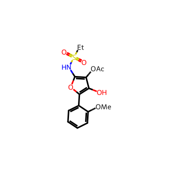 CCS(=O)(=O)Nc1oc(-c2ccccc2OC)c(O)c1OC(C)=O